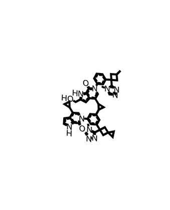 CC1CC(c2cccc(-n3cc(C4CC4c4cc(-n5cc(C6CC6)c6cc[nH]c6c5=O)cc(C5(c6nncn6C)CC6(CC6)C5)c4)c4cc(CO)[nH]c4c3=O)c2)(c2nncn2C)C1